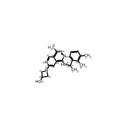 Cc1cccc([C@@H](C)Nc2nnc(C)c3cnc(N4CC(O)C4)cc23)c1C